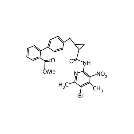 COC(=O)c1ccccc1-c1ccc(CC2CC2C(=O)Nc2nc(C)c(Br)c(C)c2[N+](=O)[O-])cc1